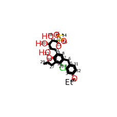 CCOc1ccc(Cc2cc([C@@H]3O[C@H](S(C)(=O)=O)[C@@H](O)[C@H](O)[C@H]3O)c3c(c2Cl)CC(C)O3)cc1